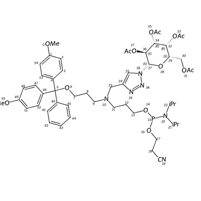 COc1ccc(C(OCCCN(CCCOP(OCCC#N)N(C(C)C)C(C)C)Cc2cn([C@H]3O[C@@H](COC(C)=O)[C@@H](OC(C)=O)[C@@H](OC(C)=O)[C@@H]3OC(C)=O)nn2)(c2ccccc2)c2ccc(OC)cc2)cc1